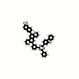 N#Cc1ccc2cc(-c3cc4c5cccnc5c(-c5cccc(-c6nc(-c7ccccc7)nc(-c7ccc8c(c7)oc7ccccc78)n6)c5)cc4c4cccnc34)ccc2c1